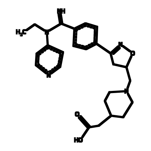 CCN(C(=N)c1ccc(C2=NOC(CN3CCC(CC(=O)O)CC3)C2)cc1)c1ccncc1